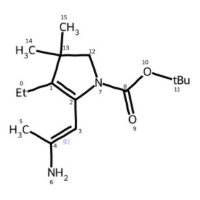 CCC1=C(/C=C(\C)N)N(C(=O)OC(C)(C)C)CC1(C)C